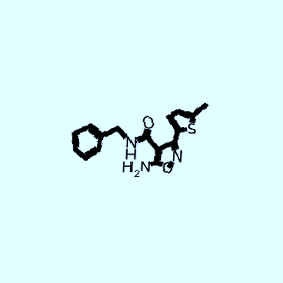 Cc1ccc(-c2noc(N)c2C(=O)NCc2ccccc2)s1